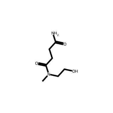 CN(CCO)C(=O)CCC(N)=O